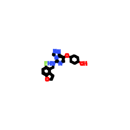 O[C@H]1CC[C@@H](Oc2cnc(NCc3c(F)ccc4c3CCO4)n3cnnc23)CC1